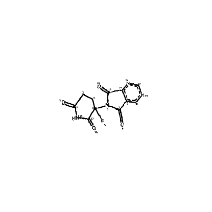 O=C1CCC(F)(N2C(=O)c3cncnc3C2=O)C(=O)N1